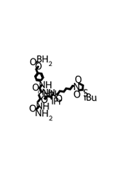 BC(=O)OCc1ccc(NC(=O)[C@H](CCCNC(N)=O)NC(=O)C(NC(=O)CCCCCN2C(=O)CC(SC(C)CC)C2=O)C(C)C)cc1